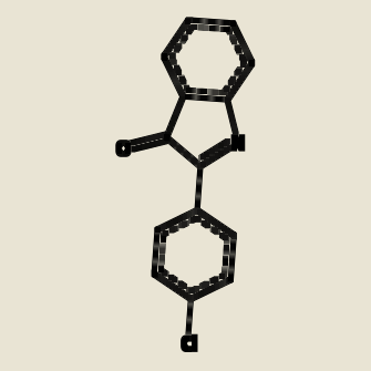 O=C1C(c2ccc(Cl)cc2)=Nc2ccccc21